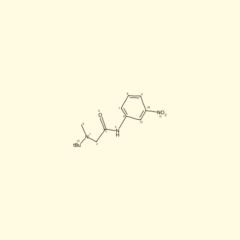 CN(CC(=O)Nc1cccc([N+](=O)[O-])c1)C(C)(C)C